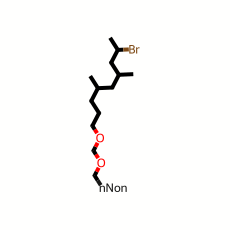 CCCCCCCCCCOCOCCCC(C)CC(C)CC(C)Br